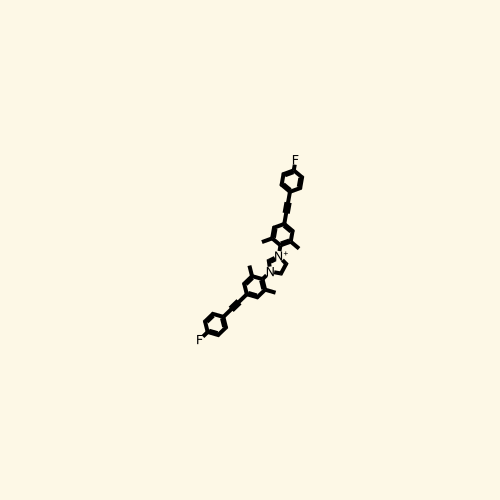 Cc1cc(C#Cc2ccc(F)cc2)cc(C)c1N1C=[N+](c2c(C)cc(C#Cc3ccc(F)cc3)cc2C)CC1